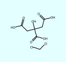 ClCCl.O=C(O)CC(O)(CC(=O)O)C(=O)O